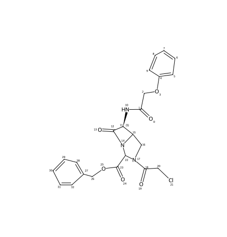 O=C(COc1ccccc1)N[C@@H]1C(=O)N2C1CN(C(=O)CCl)C2C(=O)OCc1ccccc1